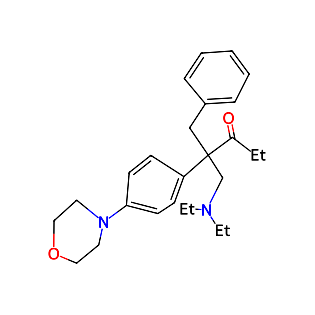 CCC(=O)C(Cc1ccccc1)(CN(CC)CC)c1ccc(N2CCOCC2)cc1